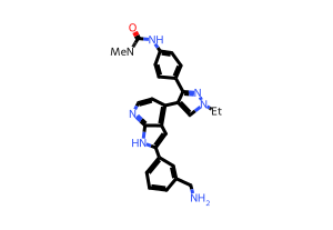 CCn1cc(-c2ccnc3[nH]c(-c4cccc(CN)c4)cc23)c(-c2ccc(NC(=O)NC)cc2)n1